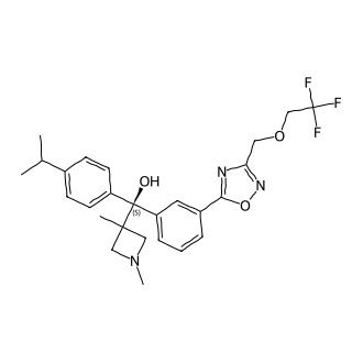 CC(C)c1ccc([C@](O)(c2cccc(-c3nc(COCC(F)(F)F)no3)c2)C2(C)CN(C)C2)cc1